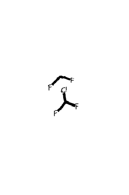 FC(F)Cl.FCF